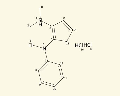 C[SiH](C)C1=C([N]([Ti])c2ccccc2)CC=C1.Cl.Cl